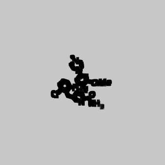 COc1cc(N2CCN(C)CC2)ccc1Nc1cc(Cc2c(F)cccc2Cl)cnc1C(N)=O